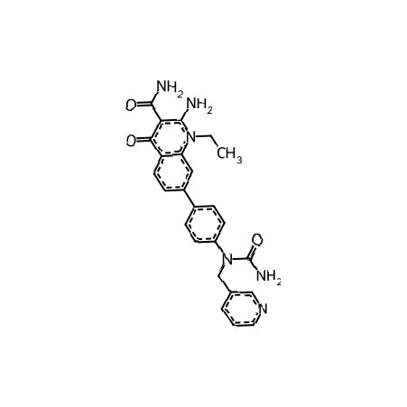 CCn1c(N)c(C(N)=O)c(=O)c2ccc(-c3ccc(N(Cc4cccnc4)C(N)=O)cc3)cc21